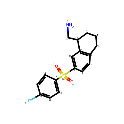 NCC1CCCc2ccc(S(=O)(=O)c3ccc(F)cc3)cc21